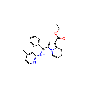 CCOC(=O)c1cc([C@@H](Nc2cc(C)ccn2)c2ccccc2)n2ccccc12